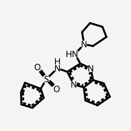 O=S(=O)(Nc1nc2ccccc2nc1NN1CCCCC1)c1ccccc1